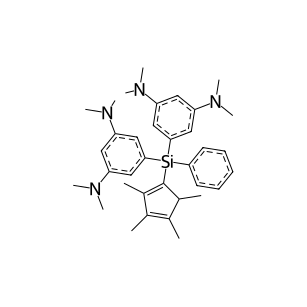 CC1=C(C)C(C)C([Si](c2ccccc2)(c2cc(N(C)C)cc(N(C)C)c2)c2cc(N(C)C)cc(N(C)C)c2)=C1C